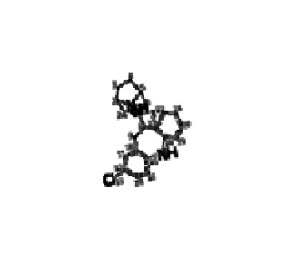 CN1C2CCC1CN(C1Cc3cc(Cl)ccc3Nc3ccccc31)C2